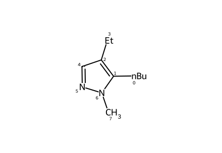 CCCCc1c(CC)[c]nn1C